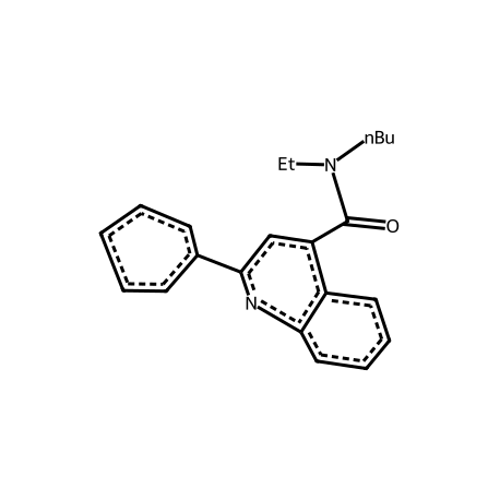 CCCCN(CC)C(=O)c1cc(-c2ccccc2)nc2ccccc12